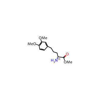 COC(=O)[C@@H](N)CCCc1ccc(OC)c(OC)c1